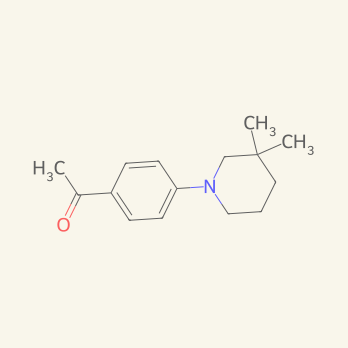 CC(=O)c1ccc(N2CCCC(C)(C)C2)cc1